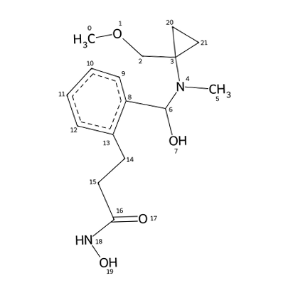 COCC1(N(C)C(O)c2ccccc2CCC(=O)NO)CC1